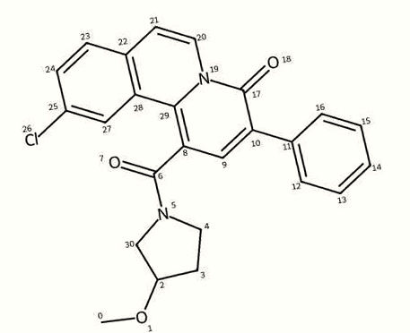 COC1CCN(C(=O)c2cc(-c3ccccc3)c(=O)n3ccc4ccc(Cl)cc4c23)C1